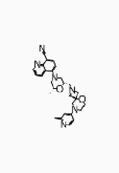 Cc1cc(N2CCOC3(CN(C[C@H]4CN(c5ccc(C#N)c6ncccc56)C[C@@H](C)O4)C3)C2)ccn1